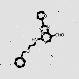 O=Cc1cnc(NCCOCc2ccccc2)n2nc(-c3ccco3)nc12